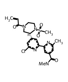 C=CC(=O)N1CCN(S(C)(=O)=O)[C@H](c2cc(Cl)nc(-c3cc(C(=O)NC)cc(C)n3)c2)C1